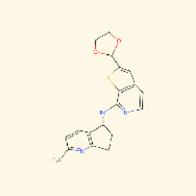 FC(F)(F)c1ccc2c(n1)CC[C@H]2Nc1nccc2cc(C3OCCO3)sc12